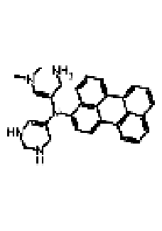 CN(C)/C=C(\CN)N(C1=CNCNC1)c1ccc2c3cccc4cccc(c5cccc1c52)c43